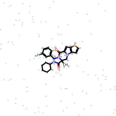 CC1(C(=O)NC2CCCCC2)Cn2c(cc3sccc32)C(=O)N1Cc1cccc(F)c1